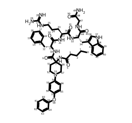 CCCCC(=O)NC1(C(=O)N[C@H](Cc2ccccc2)C(=O)N[C@@H](CCCNC(=N)N)C(=O)N[C@@H](Cc2c[nH]c3ccccc23)C(=O)NCC(N)=O)CCN(c2ccc(Oc3ccccc3)cc2)CC1